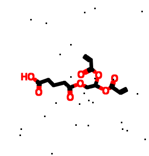 C=CC(=O)OC(COC(=O)CCCC(=O)O)OC(=O)C=C